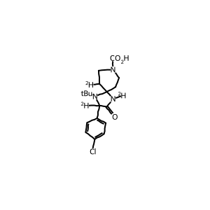 [2H]C1CN(C(=O)O)CCC12N([2H])C(=O)C([2H])(c1ccc(Cl)cc1)N2C(C)(C)C